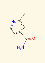 NC(=O)c1ccnc(Br)c1